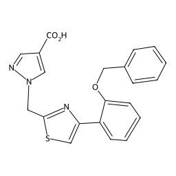 O=C(O)c1cnn(Cc2nc(-c3ccccc3OCc3ccccc3)cs2)c1